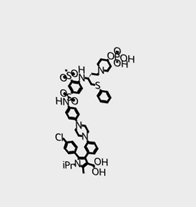 Cc1c(C(O)O)c(-c2cccc(N3CCN(c4ccc(NS(=O)(=O)c5ccc(N[C@H](CCN6CCC(OP(=O)(O)O)CC6)CSc6ccccc6)c(S(C)(=O)=O)c5)cc4)CC3)c2)c(-c2ccc(Cl)cc2)n1C(C)C